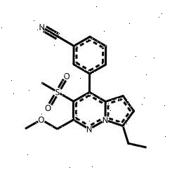 CCc1ccc2c(-c3cccc(C#N)c3)c(S(C)(=O)=O)c(COC)nn12